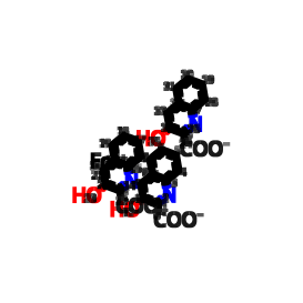 O=C([O-])c1nc2ccccc2cc1O.O=C([O-])c1nc2ccccc2cc1O.O=C([O-])c1nc2ccccc2cc1O.[Fe+3]